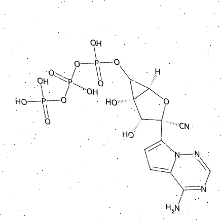 N#C[C@@]1(c2ccc3c(N)ncnn23)O[C@@H]2C(OP(=O)(O)OP(=O)(O)OP(=O)(O)O)[C@]2(O)[C@H]1O